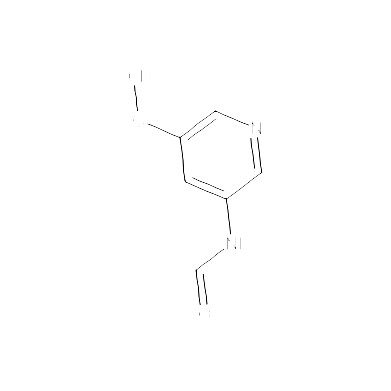 COc1cncc(NC=O)c1